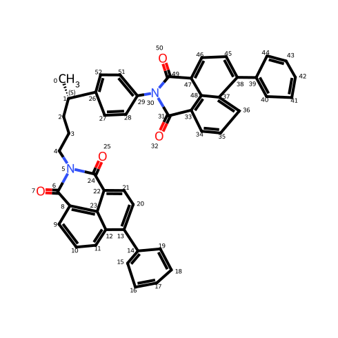 C[C@@H](CCCN1C(=O)c2cccc3c(-c4ccccc4)ccc(c23)C1=O)c1ccc(N2C(=O)c3cccc4c(-c5ccccc5)ccc(c34)C2=O)cc1